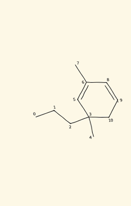 CCCC1(C)C=C(C)C=[C]C1